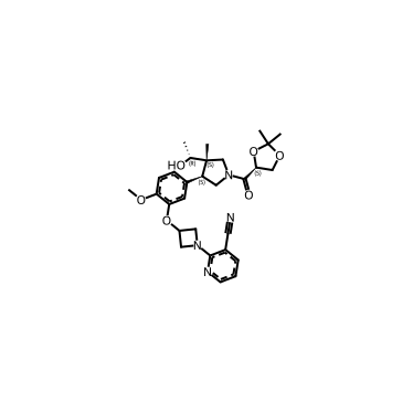 COc1ccc([C@@H]2CN(C(=O)[C@@H]3COC(C)(C)O3)C[C@@]2(C)[C@@H](C)O)cc1OC1CN(c2ncccc2C#N)C1